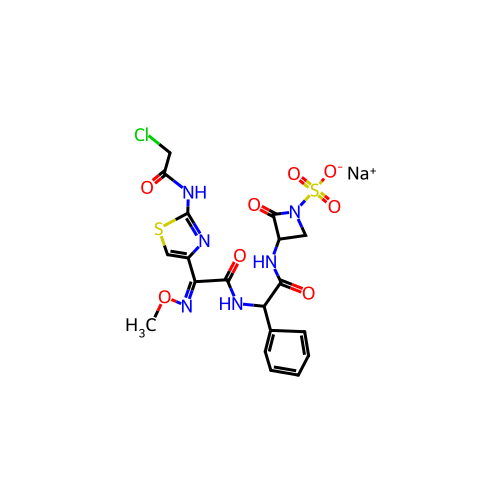 CON=C(C(=O)NC(C(=O)NC1CN(S(=O)(=O)[O-])C1=O)c1ccccc1)c1csc(NC(=O)CCl)n1.[Na+]